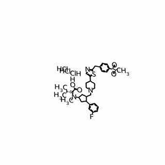 CC(C)[C@H](C(=O)O)N(C)C1CC(CN2CCC(c3cnc(Cc4ccc(S(C)(=O)=O)cc4)s3)CC2)C(c2cccc(F)c2)C1.Cl.Cl.Cl